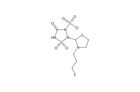 O=C1NS(=O)(=O)N(C2SCCN2CCCF)N1S(=O)(=O)Cl